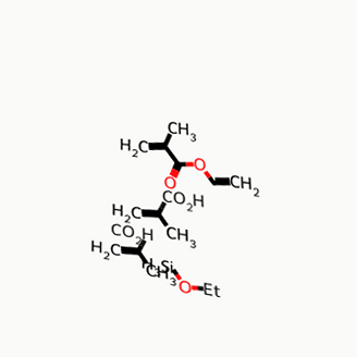 C=C(C)C(=O)O.C=C(C)C(=O)O.C=COC(=O)C(=C)C.CCO[SiH3]